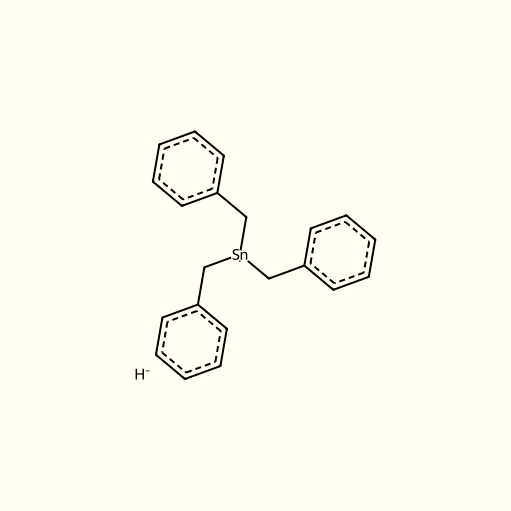 [H-].c1ccc([CH2][Sn]([CH2]c2ccccc2)[CH2]c2ccccc2)cc1